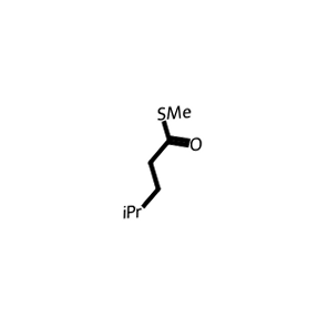 CSC(=O)CCC(C)C